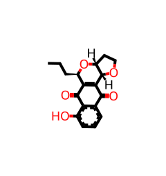 CCC[C@H]1O[C@@H]2CCO[C@@H]2C2=C1C(=O)c1c(O)cccc1C2=O